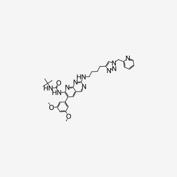 COc1cc(OC)cc(-c2cc3cnc(NCCCCc4cn(Cc5ccccn5)nn4)nc3nc2NC(=O)NC(C)(C)C)c1